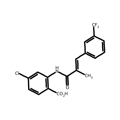 C/C(=C\c1cccc(C(F)(F)F)c1)C(=O)Nc1cc(Cl)ccc1C(=O)O